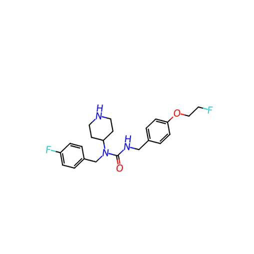 O=C(NCc1ccc(OCCF)cc1)N(Cc1ccc(F)cc1)C1CCNCC1